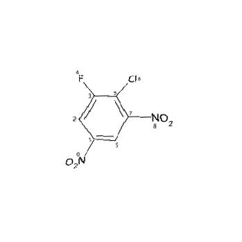 O=[N+]([O-])c1cc(F)c(Cl)c([N+](=O)[O-])c1